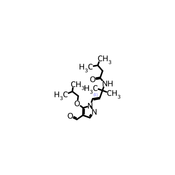 CC(C)COc1c(C=O)cnn1/C=C/C(C)(C)NC(=O)CC(C)C